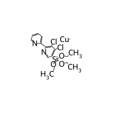 CCO[Si](OCC)(OCC)c1cnc(-c2ccccn2)c(Cl)c1Cl.[Cu]